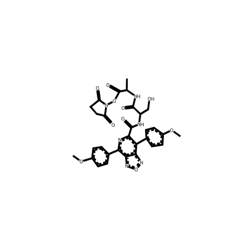 COc1ccc(-c2nc(C(=O)NC(CO)C(=O)NC(C)C(=O)ON3C(=O)CCC3=O)c(-c3ccc(OC)cc3)c3nonc23)cc1